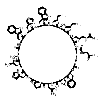 CCCC[C@H]1C(=O)N(C)[C@@H](CCCC)C(=O)N[C@@H](CCCNC(=N)N)C(=O)N[C@H](C(=O)NCC(N)=O)CSCC(=O)N[C@@H](Cc2ccccc2)C(=O)N(C)[C@@H](C)C(=O)N[C@@H](CC(N)O)C(=O)N2CCC[C@H]2C(=O)N[C@@H](Cc2cnc[nH]2)C(=O)N[C@@H](CC(C)C)C(=O)N(C)CC(=O)N[C@@H](Cc2c[nH]c3ccccc23)C(=O)N[C@@H](Cc2cnc[nH]2)C(=O)N[C@@H](Cc2c[nH]c3ccccc23)C(=O)N1C